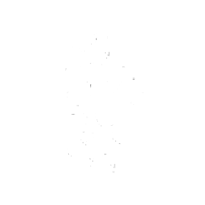 CC(C)OC(=O)[C@@H](C)N[P@](=S)(OC[C@H]1O[C@@H](n2cnc3c(N)nc(N)nc32)C(Cl)(Cl)[C@@H]1O)Oc1ccccc1